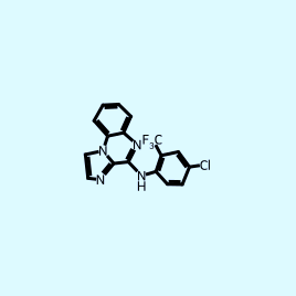 FC(F)(F)c1cc(Cl)ccc1Nc1nc2ccccc2n2ccnc12